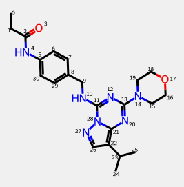 CCC(=O)Nc1ccc(CNc2nc(N3CCOCC3)nc3c(C(C)C)cnn23)cc1